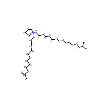 CC(C)CCCCCCCCCCCCCC[N+]1(CCCCCCCCCCCC(C)C)CCCC1